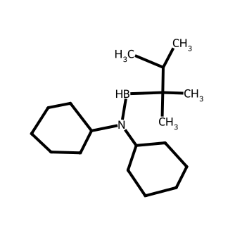 CC(C)C(C)(C)BN(C1CCCCC1)C1CCCCC1